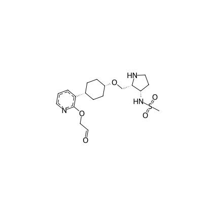 CS(=O)(=O)N[C@H]1CCN[C@H]1CO[C@H]1CC[C@@H](c2cccnc2OCC=O)CC1